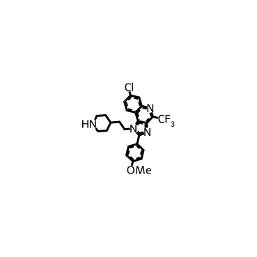 COc1ccc(-c2nc3c(C(F)(F)F)nc4cc(Cl)ccc4c3n2CCC2CCNCC2)cc1